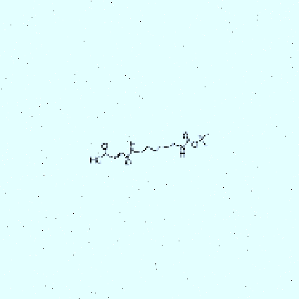 CC(C)(C)OC(=O)NCCCCCCNC(=O)C=CC(=O)O